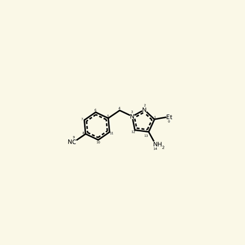 CCc1nn(Cc2ccc(C#N)cc2)cc1N